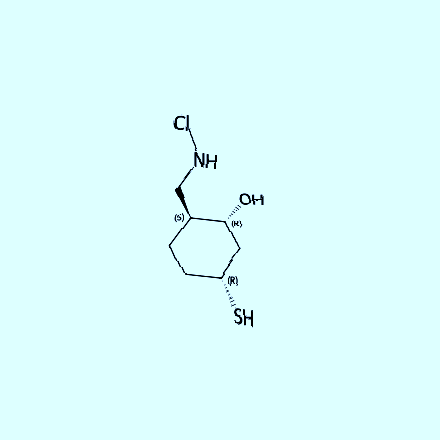 O[C@@H]1C[C@H](S)CC[C@H]1CNCl